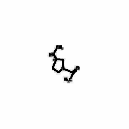 CN[C@@H]1CCN(C(C)=O)C1